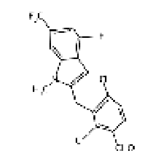 Cn1c(Cc2c(Cl)ccc(C=O)c2Cl)cc2c(F)cc(C(F)(F)F)cc21